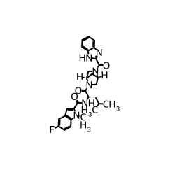 CC(C)C[C@H](NC(=O)c1cc2cc(F)ccc2n1C)C(=O)N1C[C@@H]2C[C@H]1CN2C(=O)c1nc2ccccc2[nH]1